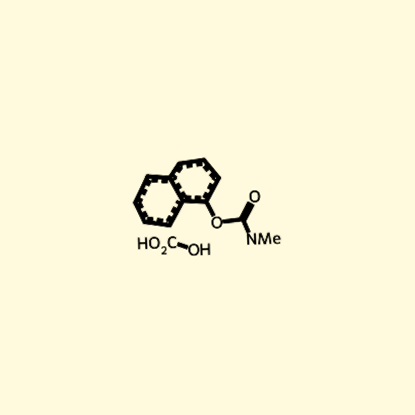 CNC(=O)Oc1cccc2ccccc12.O=C(O)O